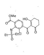 CCS(=O)(CC)=Nc1c(C(=O)OC)ccc(C(=O)C2=C(O)CCCC2=O)c1Cl